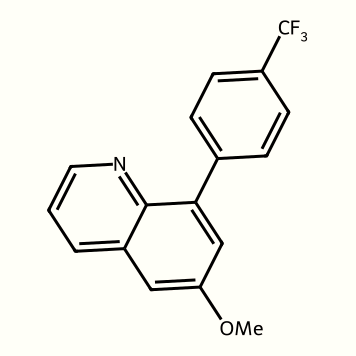 COc1cc(-c2ccc(C(F)(F)F)cc2)c2ncccc2c1